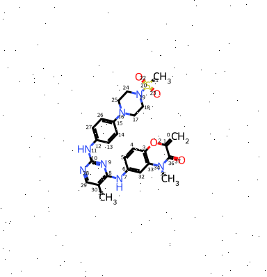 C=C1Oc2ccc(Nc3nc(Nc4ccc(N5CCN(S(C)(=O)=O)CC5)cc4)ncc3C)cc2N(C)C1=O